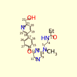 CCC(=O)NCCN(C)c1cncc(Oc2ccc(-c3ccc(CO)nc3)cc2)n1